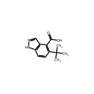 CC(C)(C)c1ccc2[nH]ncc2c1C(=O)O